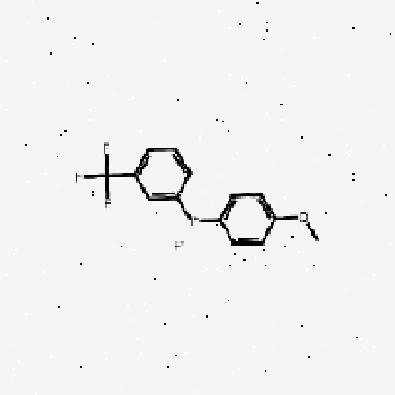 COc1ccc([I+]c2cccc(C(F)(F)F)c2)cc1.[F-]